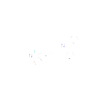 O=C(c1cc(C2CC2)c(OCC2CCN(C(c3ccccc3)c3ccccc3)C2)cc1F)N1CCCC1